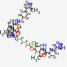 COc1cc(OCCCCCCC(=O)N[C@H](C(=O)N2CCC[C@H]2C(=O)NCc2ccc(-c3scnc3C)cc2)C(C)(C)C)c(Cl)cc1NC(=O)c1cccc(-c2ccn[nH]2)n1